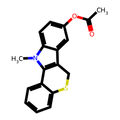 CC(=O)Oc1ccc2c(c1)c1c(n2C)-c2ccccc2SC1